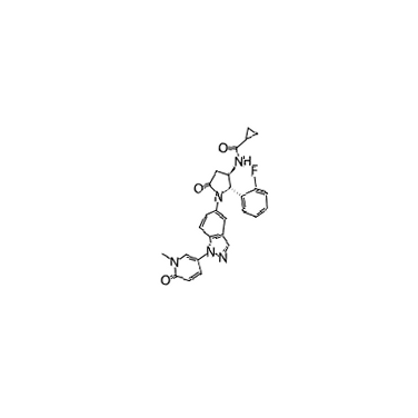 Cn1cc(-n2ncc3cc(N4C(=O)C[C@@H](NC(=O)C5CC5)[C@@H]4c4ccccc4F)ccc32)ccc1=O